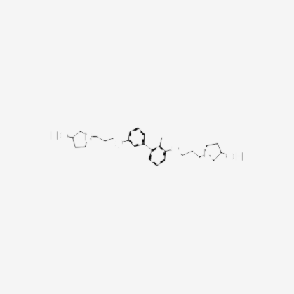 Cc1c(OCCCN2CCC(O)C2)cccc1-c1cccc(OCCCN2CCC(O)C2)c1